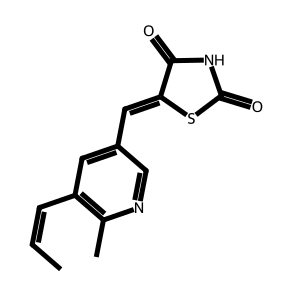 C/C=C\c1cc(/C=C2\SC(=O)NC2=O)cnc1C